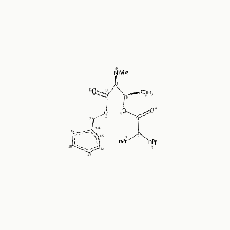 CCCC(CCC)C(=O)O[C@H](C)[C@H](NC)C(=O)OCc1ccccc1